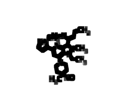 C=C/C=C(\NC)C1c2nc(-c3ccnn3C)cc(N3CCC(C)(N=O)CC3)c2N(CC(F)(F)F)N1C